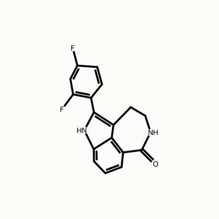 O=C1NCCc2c(-c3ccc(F)cc3F)[nH]c3cccc1c23